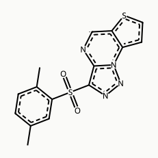 Cc1ccc(C)c(S(=O)(=O)c2nnn3c2n[c]c2sccc23)c1